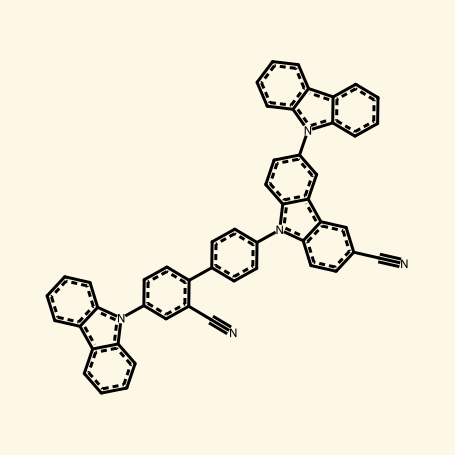 N#Cc1ccc2c(c1)c1cc(-n3c4ccccc4c4ccccc43)ccc1n2-c1ccc(-c2ccc(-n3c4ccccc4c4ccccc43)cc2C#N)cc1